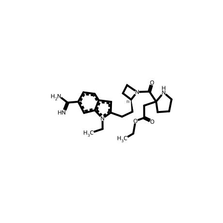 CCOC(=O)CC1(C(=O)N2CC[C@@H]2CCc2cc3ccc(C(=N)N)cc3n2CC)CCCN1